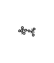 c1ccc(-c2nc(-c3ccc(-c4ccc(-n5c6ccccc6c6c7ccccc7c7sc8ccccc8c7c65)cc4)cc3)c3sc4ccccc4c3n2)cc1